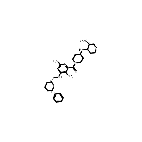 CO[C@H]1COCCC1NC1CCN(C(=O)c2nc(C(F)(F)F)nc(NC[C@H]3CCC[C@@H](c4ccccc4)O3)c2C)CC1